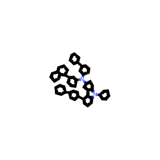 c1ccc(-c2ccc(-c3cccc4c3c3cc(N(c5cccc(-c6ccccc6)c5)c5cccc(-c6cccc7ccccc67)c5)ccc3n4-c3ccccc3)cc2)cc1